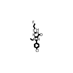 CCn1c(-c2ccc(Cl)cc2)nc2c(=O)[nH]c(SCCCF)nc21